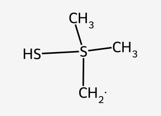 [CH2]S(C)(C)S